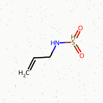 C=CCN[SH](=O)=O